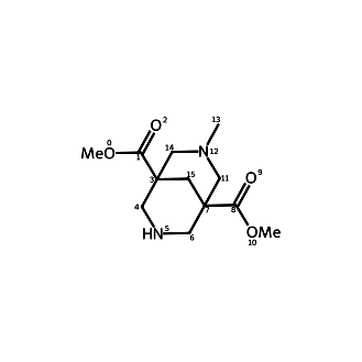 COC(=O)C12CNCC(C(=O)OC)(CN(C)C1)C2